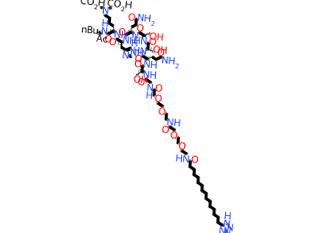 CCCC[C@H](NC(=O)[C@H](CCCCN(CC(=O)O)CC(=O)O)NC(=O)[C@H](Cc1c[nH]cn1)NC(=O)[C@H](CCC(N)=O)NC(=O)[C@H](CO)NC(=O)[C@H](CO)NC(=O)[C@H](CCC(N)=O)NC(=O)[C@@H](CO)NC(=O)CNC(=O)COCCOCCNC(=O)COCCOCCNC(=O)CCCCCCCCCCCCCCCc1nnn[nH]1)C(C)=O